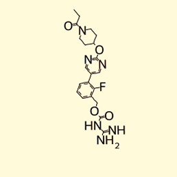 CCC(=O)N1CCC(Oc2ncc(-c3cccc(COC(=O)NC(=N)N)c3F)cn2)CC1